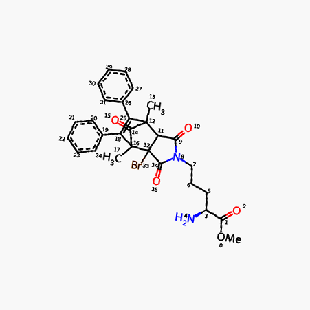 COC(=O)[C@@H](N)CCCN1C(=O)C2C3(C)C(=O)C(C)(C(c4ccccc4)=C3c3ccccc3)C2(Br)C1=O